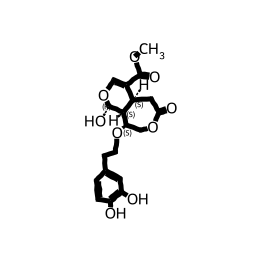 COC(=O)C1=CO[C@@H](O)[C@H]2[C@@H]1CC(=O)OC[C@H]2OCCc1ccc(O)c(O)c1